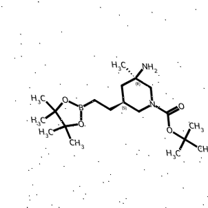 CC(C)(C)OC(=O)N1C[C@@H](CCB2OC(C)(C)C(C)(C)O2)C[C@@](C)(N)C1